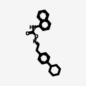 O=C(Nc1cccc2ccccc12)ON=CCc1ccc(C2CCCCC2)cc1